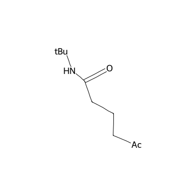 CC(=O)CCCC(=O)NC(C)(C)C